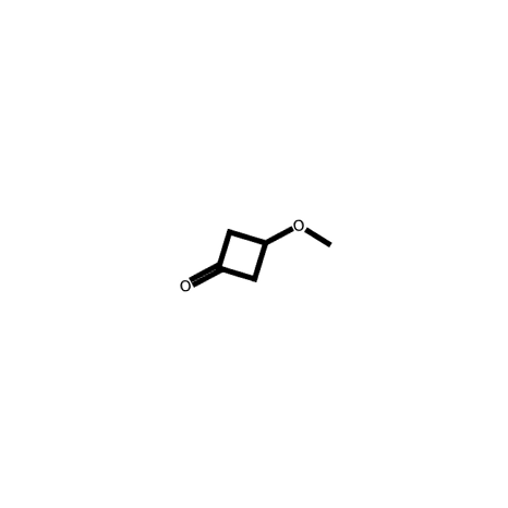 COC1CC(=O)C1